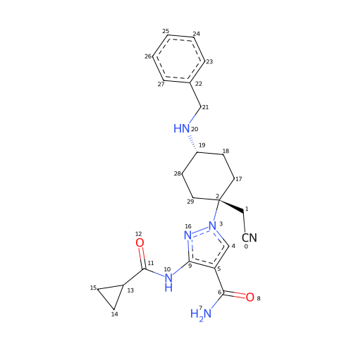 N#CC[C@]1(n2cc(C(N)=O)c(NC(=O)C3CC3)n2)CC[C@@H](NCc2ccccc2)CC1